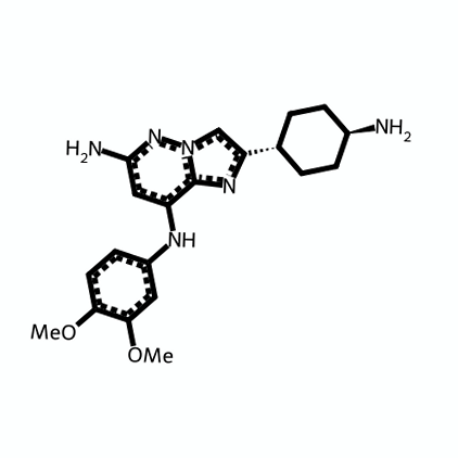 COc1ccc(Nc2cc(N)nn3cc([C@H]4CC[C@H](N)CC4)nc23)cc1OC